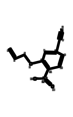 C=CCOc1cc(C#N)ccc1[N+](=O)[O-]